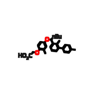 CCCCC(Oc1ccc(OCC(=O)O)c(C)c1)c1cccc(-c2ccc(C)cc2)c1C